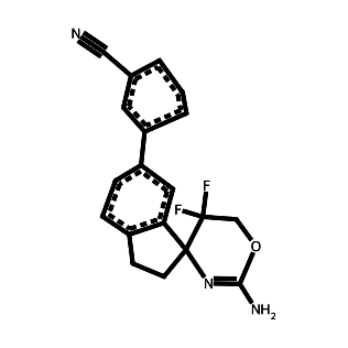 N#Cc1cccc(-c2ccc3c(c2)C2(CC3)N=C(N)OCC2(F)F)c1